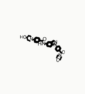 O=C(Nc1ccc2c(cnn2-c2ccc(C(=O)N3CCOCC3)cc2)c1)c1ccc(N2CCC(O)CC2)cc1